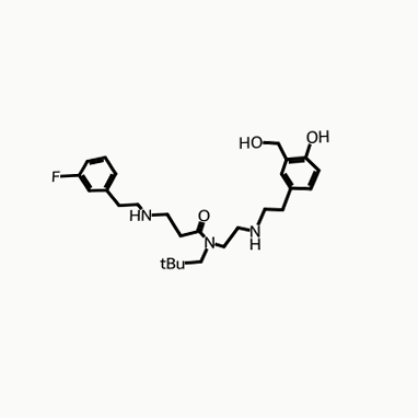 CC(C)(C)CN(CCNCCc1ccc(O)c(CO)c1)C(=O)CCNCCc1cccc(F)c1